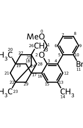 COCOc1c(-c2ccccc2Br)cc(C)cc1C12CC3(C)CC(C)(CC(C)(C3)C1)C2